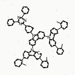 Cc1ccccc1-c1ccc2c(c1)c1cc(-c3ccccc3C)ccc1n2-c1ccc2c(c1)c1cc(-n3c4ccc(-c5ccccc5C)cc4c4cc(-c5ccccc5C)ccc43)ccc1n2-c1ccc(-c2nc(-c3ccccc3)nc(-c3ccccc3)n2)cc1